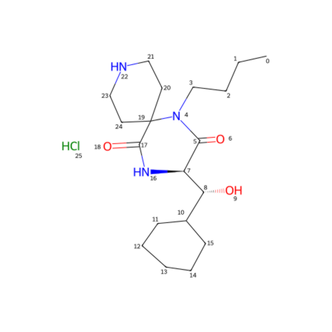 CCCCN1C(=O)[C@@H]([C@H](O)C2CCCCC2)NC(=O)C12CCNCC2.Cl